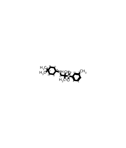 Cc1cccc(S(=O)(=O)C(C)(C)CNC2CCC(C)(C)CC2)c1